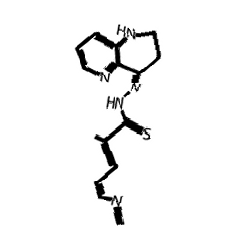 C=N/C=C\C=C(/C)C(=S)N/N=C1/CCNc2cccnc21